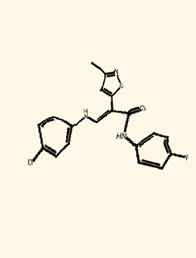 Cc1cc(/C(=C\Nc2ccc(Cl)cc2)C(=O)Nc2ccc(F)cc2)on1